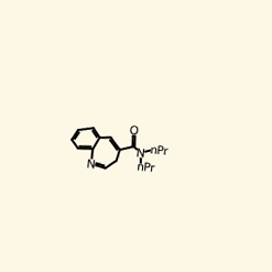 CCCN(CCC)C(=O)C1=Cc2ccccc2N=CC1